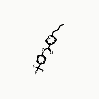 CCCCc1ccc(C(=O)Oc2ccc(C(F)(F)F)cc2)cc1